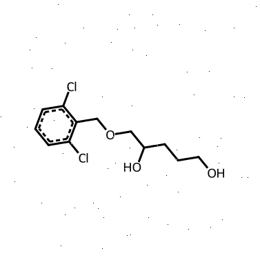 OCCCC(O)COCc1c(Cl)cccc1Cl